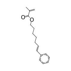 C=C(C)C(=O)OCCCCCC=Cc1ccccc1